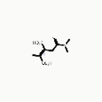 C/C(C(=O)O)=C(/CC(=O)N(C)C)C(=O)O